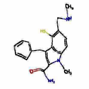 CNCc1ccc2c(c1S)c(-c1ccccc1)c(C(N)=O)n2C